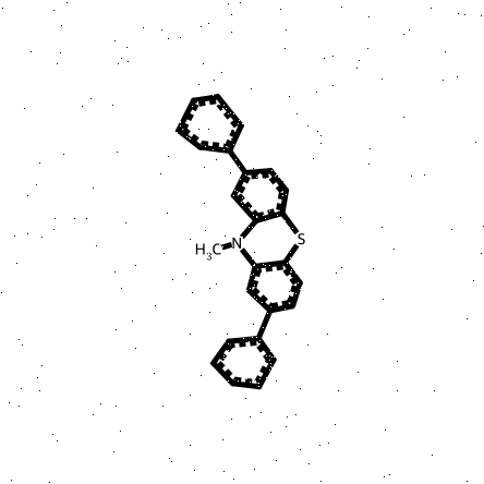 CN1c2cc(-c3ccccc3)ccc2Sc2ccc(-c3ccccc3)cc21